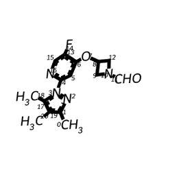 Cc1nn(-c2cc(OC3CN(C=O)C3)c(F)cn2)c(C)c1C